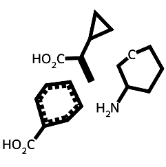 C=C(C(=O)O)C1CC1.NC1CCCCC1.O=C(O)c1ccccc1